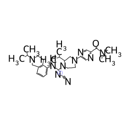 CC(C)C1CN(c2cnc(C(=O)N(C)C)cn2)CCN1/C(=N\C#N)Nc1cccc2c1CCN(C(C)C)C2